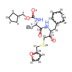 CCC(C)C(NC(=O)OCC1CCCC1)C(=O)NC(Cc1ccccc1)C(=O)CSCc1ccco1